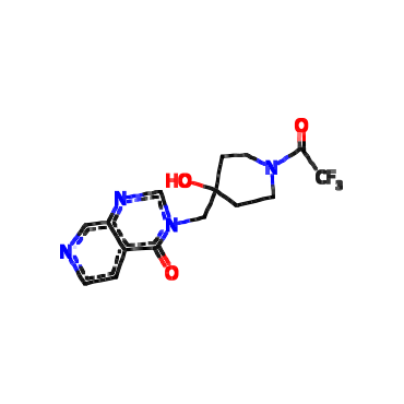 O=C(N1CCC(O)(Cn2cnc3cnccc3c2=O)CC1)C(F)(F)F